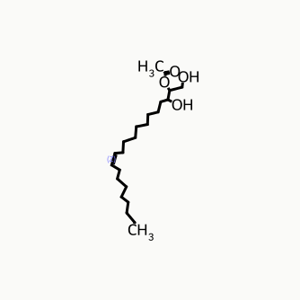 CCCCCCCC/C=C\CCCCCCCCC(O)C(CO)OC(C)=O